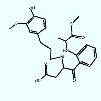 COC(=O)C(C)Nc1ccccc1C(=O)C(CC(=O)O)NCCCc1ccc(O)c(OC)c1